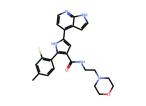 Cc1ccc(-c2[nH]c(-c3ccnc4[nH]ccc34)cc2C(=O)NCCN2CCOCC2)c(F)c1